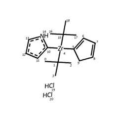 C[C](C)(C)[Zr]([C]1=CC=CC1)([c]1ccc[nH]1)[C](C)(C)C.Cl.Cl